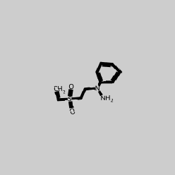 C=CS(=O)(=O)CCN(N)c1ccccc1